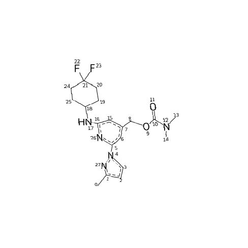 Cc1ccn(-c2cc(COC(=O)N(C)C)cc(NC3CCC(F)(F)CC3)n2)n1